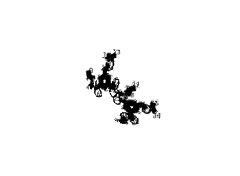 CCCN(C)C(=O)c1cc(COC(C)C)cc(C(=O)O)c1.CCCN(C)C(=O)c1cc(COC(C)C)cc(C(=O)OCC)c1